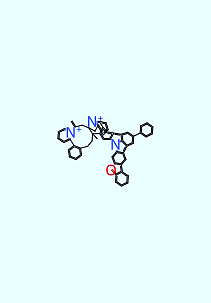 C=C1CC23Cc4cccc([n+]42)-c2cc4c5cc(-c6ccccc6)cc6c7cc8c(cc7n(c4cc2C3(C)CCc2ccccc2-c2cccc[n+]21)c56)oc1ccccc18